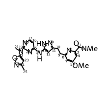 CNC(=O)c1cc(OC)cc(CCc2cc(Nc3ccnc(N(C)c4cc(C)no4)n3)[nH]n2)n1